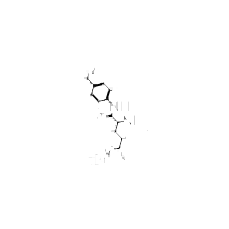 CC(C)(C)OC(=O)CCC(N)C(=O)Nc1ccc(CO)cc1